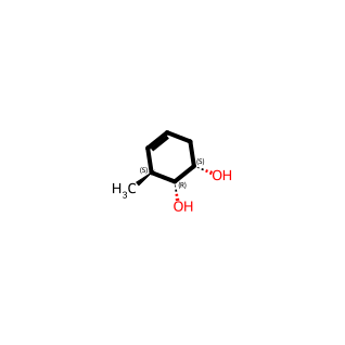 C[C@H]1C=CC[C@H](O)[C@@H]1O